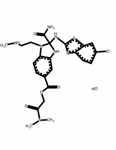 CNCCN1c2ccc(C(=O)OCC(=O)N(C)C)cc2NC1(Nc1nc2ccc(Cl)cc2s1)C(N)=O.Cl